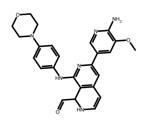 COc1cc(-c2cc3c(c(Nc4ccc(N5CCOCC5)cc4)n2)C(C=O)NC=C3)cnc1N